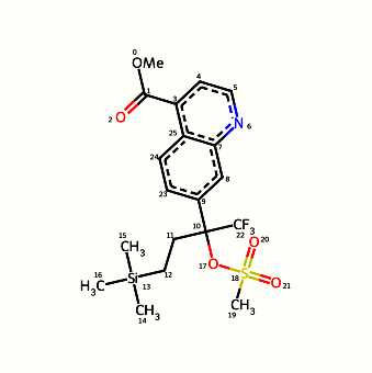 COC(=O)c1ccnc2cc(C(CC[Si](C)(C)C)(OS(C)(=O)=O)C(F)(F)F)ccc12